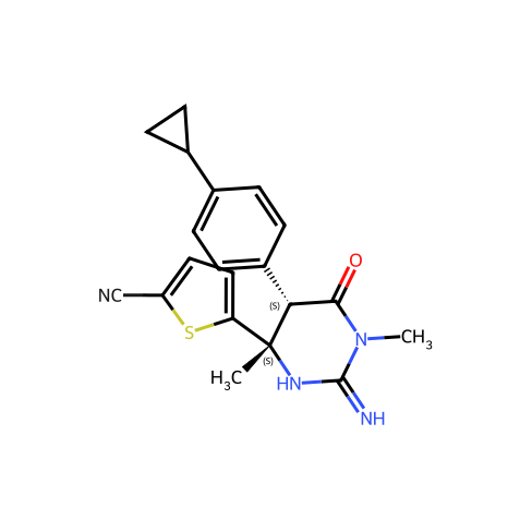 CN1C(=N)N[C@](C)(c2ccc(C#N)s2)[C@H](c2ccc(C3CC3)cc2)C1=O